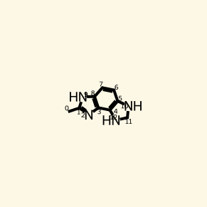 Cc1nc2c3c(ccc2[nH]1)NCN3